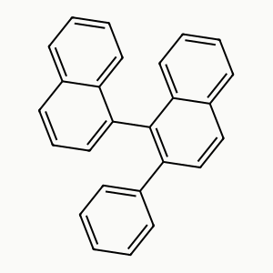 c1ccc(-c2ccc3ccccc3c2-c2cccc3ccccc23)cc1